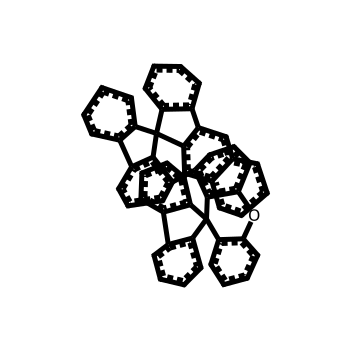 c1ccc2c(c1)Oc1cccc(-c3cccc4c3C3(c5ccccc5-c5cc6ccccc6cc53)c3ccccc3-4)c1C21c2ccccc2-c2ccccc21